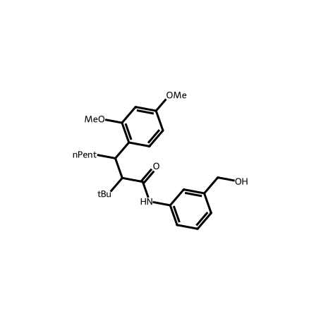 CCCCCC(c1ccc(OC)cc1OC)C(C(=O)Nc1cccc(CO)c1)C(C)(C)C